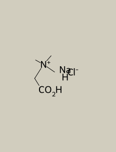 C[N+](C)(C)CC(=O)O.[Cl-].[NaH]